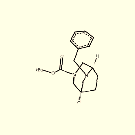 CC(C)(C)OC(=O)N1C[C@@H]2CC[C@H](C1)N(Cc1ccccc1)C2